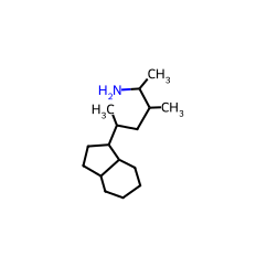 CC(N)C(C)CC(C)C1CCC2CCCCC21